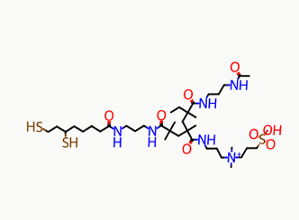 CCC(C)(CC(C)(CC(C)(C)C(=O)NCCCNC(=O)CCCCC(S)CCS)C(=O)NCCC[N+](C)(C)CCCS(=O)(=O)O)C(=O)NCCCNC(C)=O